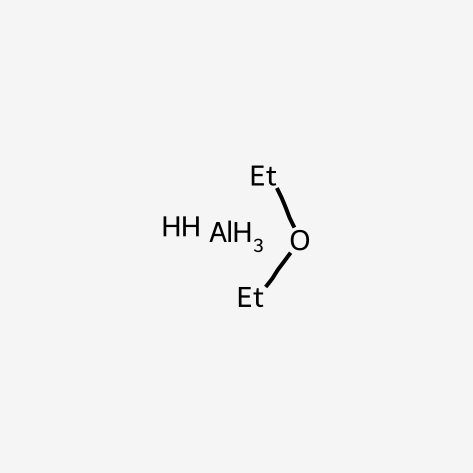 CCOCC.[AlH3].[HH]